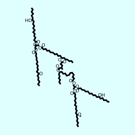 CCCCCCC(O)CCCCCCCCCCC(=O)OC(COC(=O)CCCCCCCCCCC(CCCCCC)OC)COC(=O)CCCCCCCCCCC(CCCCCC)OC(=O)CCC(C)C(=O)OC(CCCCCC)CCCCCCCCCCC(=O)OCC(COC(=O)CCCCCCCCCCC(CCCCCC)OC)OC(=O)CCCCCCCCCCC(O)CCCCCC